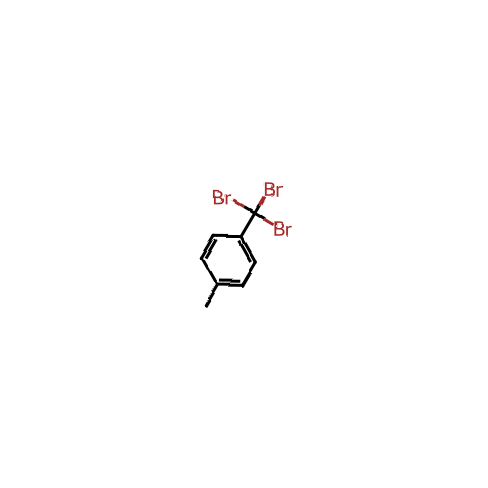 Cc1ccc(C(Br)(Br)Br)cc1